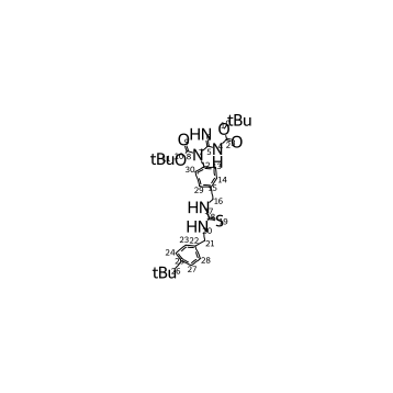 CC(C)(C)OC(=O)NC(=N)N(C(=O)OC(C)(C)C)c1ccc(CNC(=S)NCc2ccc(C(C)(C)C)cc2)cc1